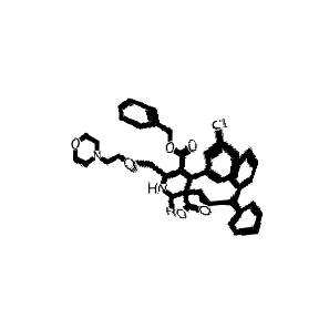 CC1NC(COCCN2CCOCC2)=C(C(=O)OCc2ccccc2)C(c2cccc(Cl)c2)C1(CCC(c1ccccc1)c1ccccc1)C(=O)O